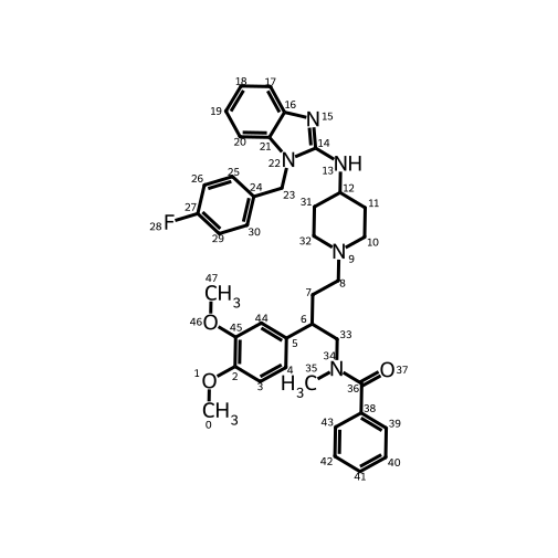 COc1ccc(C(CCN2CCC(Nc3nc4ccccc4n3Cc3ccc(F)cc3)CC2)CN(C)C(=O)c2ccccc2)cc1OC